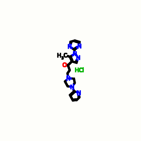 Cc1c(C(=O)CCN2CCN(c3ccccn3)CC2)cnn1-c1ncccn1.Cl